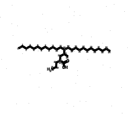 CCCCCCCCCCCCN(CCCCCCCCCCCC)C(C)CN(CCN)C(=O)O